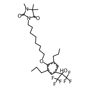 CCCc1cc(C(O)(C(F)(F)F)C(F)(F)F)cc(CCC)c1OCCCCCCCCN1C(=O)N(C)C(C)(C)C1=O